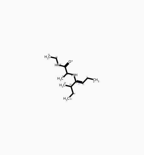 CC/C=C(\NC(C)C(=O)NCC)C(C)CC